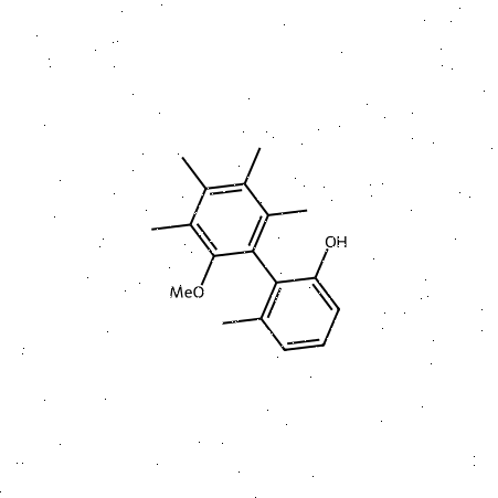 COc1c(C)c(C)c(C)c(C)c1-c1c(C)cccc1O